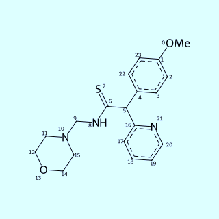 COc1ccc(C(C(=S)NCN2CCOCC2)c2ccccn2)cc1